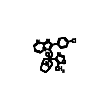 Cc1ocnc1C(=O)N1C2CCC1CN(Cc1c(-c3ccc(Cl)cc3)nc3ncccn13)C2